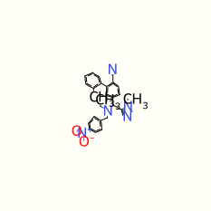 CCN(Cc1ccc([N+](=O)[O-])cc1)C(c1ccc(C#N)c(-c2ccccc2C)c1)c1cncn1C